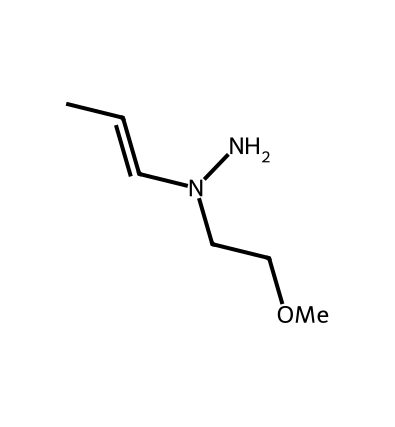 C/C=C/N(N)CCOC